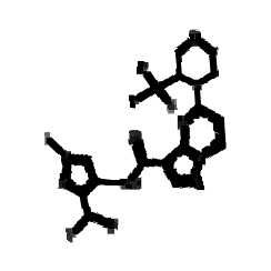 O=C(Nc1cn(I)nc1C(F)F)c1cnn2ccc(N3CCOCC3C(F)(F)F)nc12